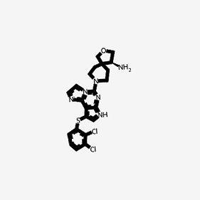 N[C@@H]1COCC12CCN(c1nc3[nH]cc(Sc4cccc(Cl)c4Cl)c3c3nccn13)CC2